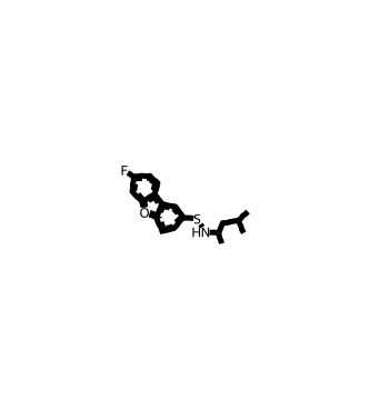 CC(C)CC(C)NSc1ccc2oc3cc(F)ccc3c2c1